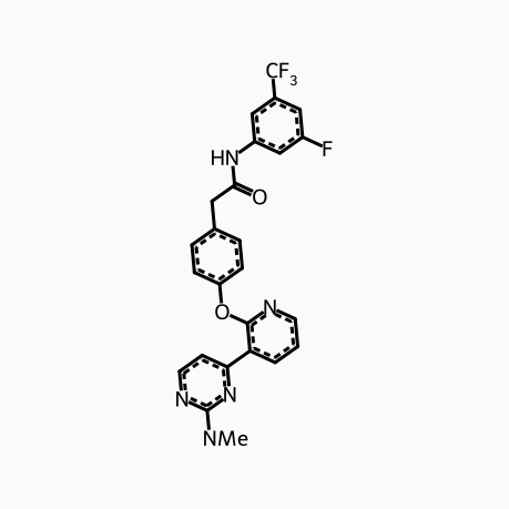 CNc1nccc(-c2cccnc2Oc2ccc(CC(=O)Nc3cc(F)cc(C(F)(F)F)c3)cc2)n1